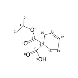 CC(C)OC(=O)C1(C(=O)O)CC=CCC1